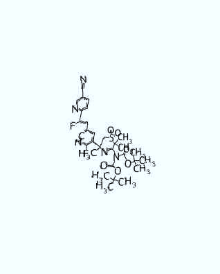 CC(C)(C)OC(=O)N(C(=O)OC(C)(C)C)C1=N[C@](C)(c2cc(/C=C(\F)c3ccc(C#N)cn3)cnc2F)CS(=O)(=O)C1(C)C